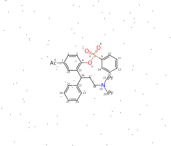 CC(=O)c1ccc(OS(=O)(=O)c2ccccc2)c(C(CCN(C(C)C)C(C)C)c2ccccc2)c1